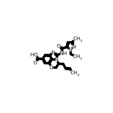 CC=CCC1COc2cc(C(=O)O)cc3nc(NC(=O)c4cc(C)nn4CC)n1c23